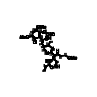 C=CC(=O)N/C(C=N)=C(/NCCOC)c1ncc(/C=C(\NC=O)c2c(Cl)c(OC)cc(OC)c2Cl)c(C)n1